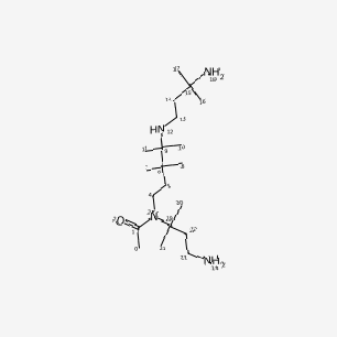 CC(=O)N(CCC(C)(C)C(C)(C)NCCC(C)(C)N)C(C)(C)CCN